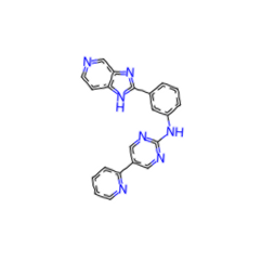 c1ccc(-c2cnc(Nc3cccc(-c4nc5cnccc5[nH]4)c3)nc2)nc1